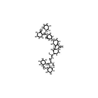 C=C/C(=N\C=C(/C)c1ccc2[nH]c3ccc(-c4ccc(N5c6ccccc6Oc6ccccc65)nc4)cc3c2c1)N1c2ccccc2Oc2ccccc21